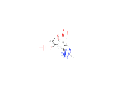 CCOC(=O)CC(c1ccc(C)c(CO)c1)c1ccn2c(CC)nnc2c1C